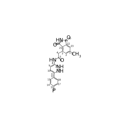 Cc1cc(CC(=O)NC2=CC=C(c3ccc(F)cc3)NN2)c2c(c1)C(=O)NC2=O